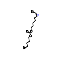 CC/C=C\CCCCCOC(=O)OCCCCBr